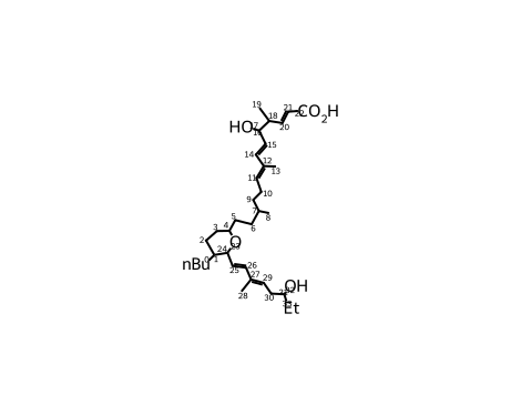 CCCCC1CCC(CCC(C)CC/C=C(C)/C=C/C(O)C(C)/C=C/C(=O)O)OC1/C=C/C(C)=C/CC(O)CC